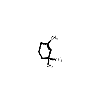 CC1=CC(C)(C)[CH]CC1